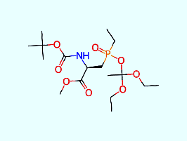 CCOC(C)(OCC)OP(=O)(CC)C[C@H](NC(=O)OC(C)(C)C)C(=O)OC